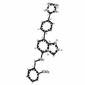 COc1ccccc1CNc1ccc(-c2ccc(-c3nn[nH]n3)cc2)c2nncn12